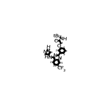 CC(C)(C)NC(=O)COc1cccc(-c2nc(Nc3cn[nH]c3)c3ccc(C(F)(F)F)cc3n2)c1